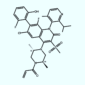 C=CC(=O)N1C[C@H](C)N(c2c(S(C)(=O)=O)c(=O)n(-c3c(C)ccnc3C(C)C)c3c(F)c(-c4c(O)cccc4F)c(Cl)cc23)C[C@H]1C